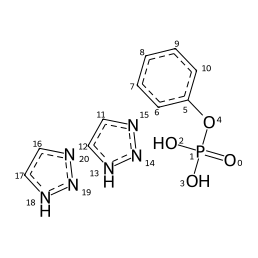 O=P(O)(O)Oc1ccccc1.c1c[nH]nn1.c1c[nH]nn1